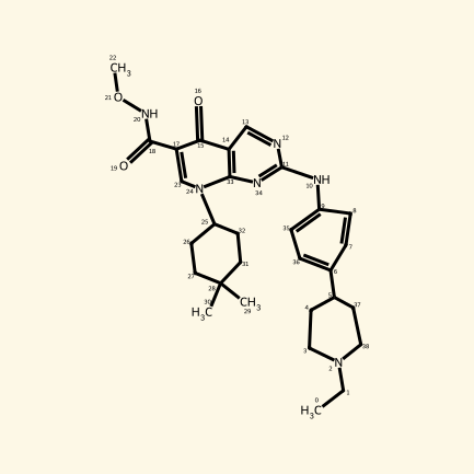 CCN1CCC(c2ccc(Nc3ncc4c(=O)c(C(=O)NOC)cn(C5CCC(C)(C)CC5)c4n3)cc2)CC1